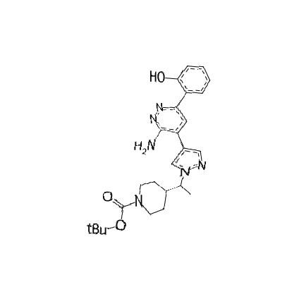 CC(C1CCN(C(=O)OC(C)(C)C)CC1)n1cc(-c2cc(-c3ccccc3O)nnc2N)cn1